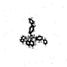 c1ccc(-c2ccc(-c3nc(-c4ccc5c(c4)sc4ccccc45)nc(N4c5c(ccc6ccccc56)-c5cccc6cccc4c56)n3)cc2)cc1